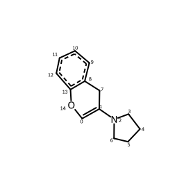 C1=C(N2CCCC2)Cc2ccccc2O1